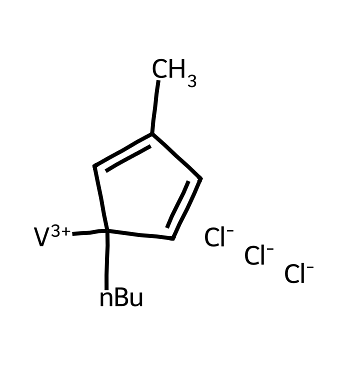 CCCC[C]1([V+3])C=CC(C)=C1.[Cl-].[Cl-].[Cl-]